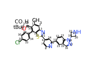 Cc1cc2nc(-c3ccnc(-c4ccc5c(cnn5C5CNC5)c4)c3)sc2c(-c2ccc(Cl)cc2)c1[C@H](OC(C)(C)C)C(=O)O